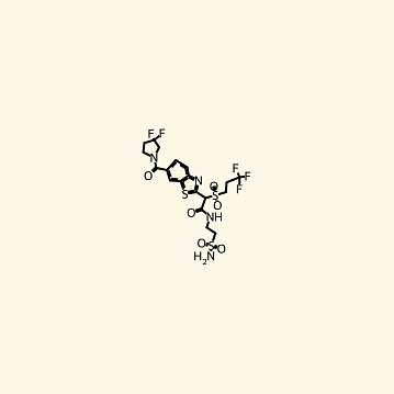 NS(=O)(=O)CCNC(=O)C(c1nc2ccc(C(=O)N3CCC(F)(F)C3)cc2s1)S(=O)(=O)CCC(F)(F)F